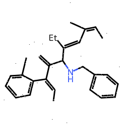 C=C(/C(=C/C)c1ccccc1C)C(NCc1ccccc1)/C(=C/C(C)=C\C)CC